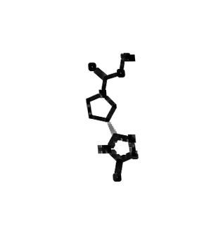 CC(C)(C)OC(=O)N1CC[C@@H](c2nsc(=O)[nH]2)C1